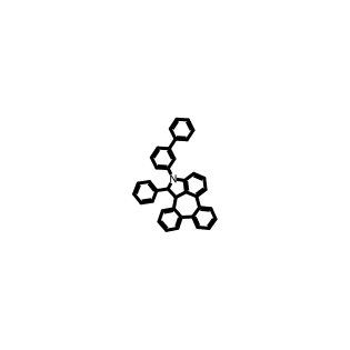 c1ccc(-c2cccc(N3c4cccc5c4C(c4ccccc4-c4ccccc4-5)C3c3ccccc3)c2)cc1